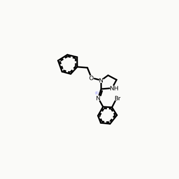 Brc1ccccc1/N=C1\NCCN1OCc1ccccc1